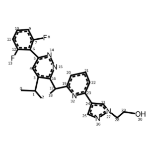 CC(C)c1cc(-c2c(F)cccc2F)nnc1C(C)c1cccc(-c2cnn(CCO)c2)n1